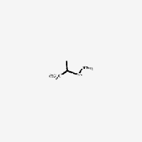 CCCCCNC(C)C(=O)OCC